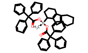 [CH3][Ti]([O]C(=O)C(c1ccccc1)(c1ccccc1)c1ccccc1)([O]C(=O)C(c1ccccc1)(c1ccccc1)c1ccccc1)[CH]1CCCC2=C1CC1=C2CCCC1